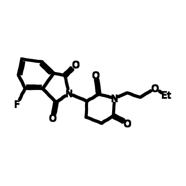 CCOCCN1C(=O)CCC(N2C(=O)c3cccc(F)c3C2=O)C1=O